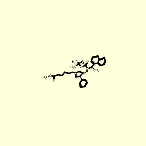 COC(=O)CCCCCN1C[C@H](CN(C(=O)OC(C)(C)C)[C@H](C)c2cccc3ccccc23)[C@@H](c2ccccc2)C1